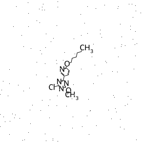 CCCCCCOc1ccc(-c2nc(Cl)nc(OC)n2)cn1